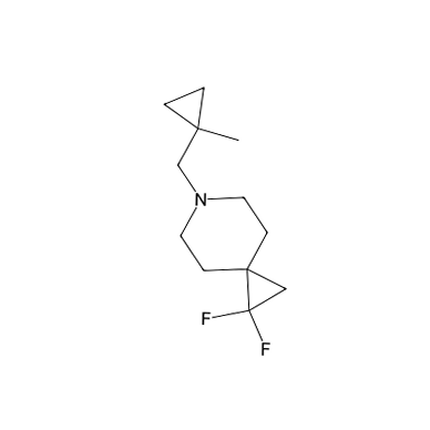 CC1(CN2CCC3(CC2)CC3(F)F)CC1